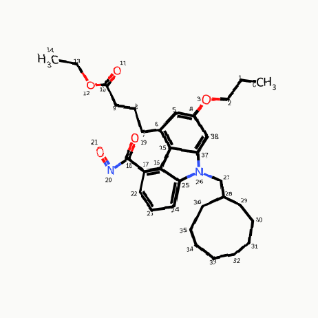 CCCOc1cc(CCCC(=O)OCC)c2c3c(C(=O)N=O)cccc3n(CC3CCCCCCCC3)c2c1